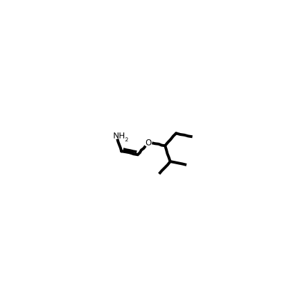 CCC(O/C=C\N)C(C)C